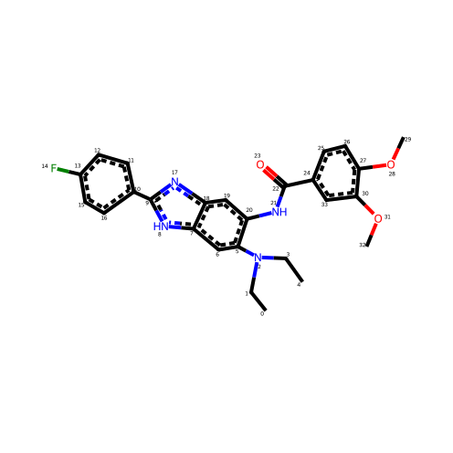 CCN(CC)c1cc2[nH]c(-c3ccc(F)cc3)nc2cc1NC(=O)c1ccc(OC)c(OC)c1